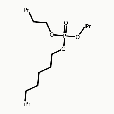 CC(C)CCCCCOP(=O)(OCCC(C)C)OC(C)C